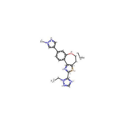 CCn1cc(-c2ccc3c(c2)OCCc2sc(-c4ncnn4CC(F)(F)F)nc2-3)cn1.CNC